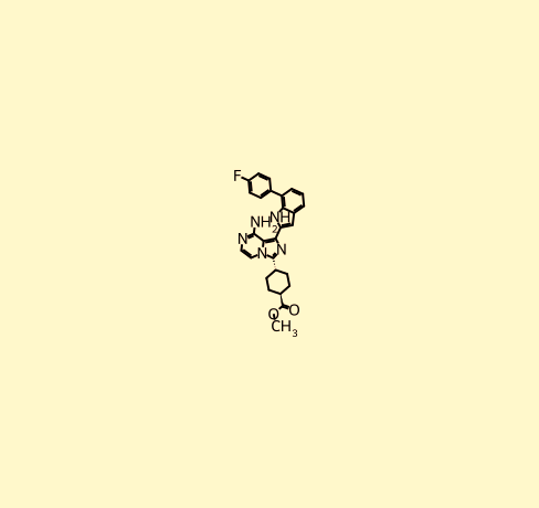 COC(=O)[C@H]1CC[C@H](c2nc(-c3cc4cccc(-c5ccc(F)cc5)c4[nH]3)c3c(N)nccn32)CC1